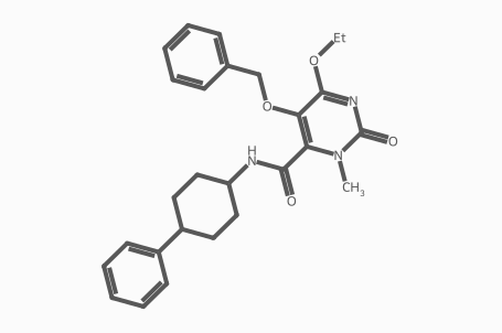 CCOc1nc(=O)n(C)c(C(=O)NC2CCC(c3ccccc3)CC2)c1OCc1ccccc1